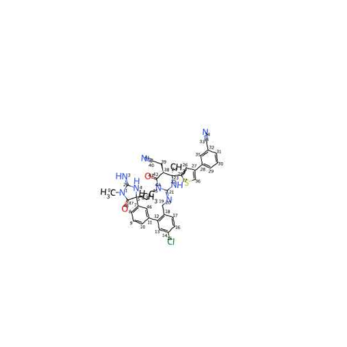 CN1C(=N)N[C@](C)(c2cccc(-c3cc(Cl)ccc3CN=C3N[C@](C)(c4cc(-c5cccc(C#N)c5)cs4)[C@H](CC#N)C(=O)N3C)c2)C1=O